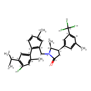 Cc1cc([C@H]2CC(=O)N(Cc3cc(C)ccc3-c3cc(C(C)C)c(F)cc3C)[C@H]2C)cc(C(F)(F)F)c1